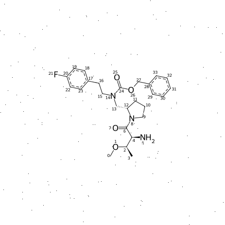 CO[C@H](C)[C@H](N)C(=O)N1CCC[C@H]1CN(CCc1ccc(F)cc1)C(=O)OCc1ccccc1